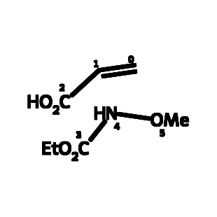 C=CC(=O)O.CCOC(=O)NOC